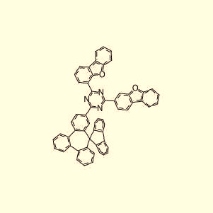 c1ccc2c(c1)-c1ccccc1C1(c3cc(-c4nc(-c5ccc6c(c5)oc5ccccc56)nc(-c5cccc6c5oc5ccccc56)n4)ccc3-2)c2ccccc2-c2ccccc21